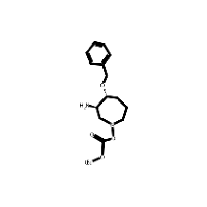 CC(C)(C)OC(=O)ON1CCC[C@@H](OCc2ccccc2)[C@H](N)C1